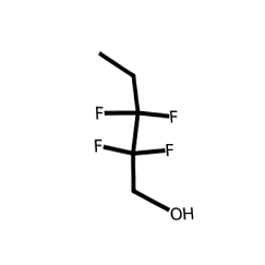 CCC(F)(F)C(F)(F)CO